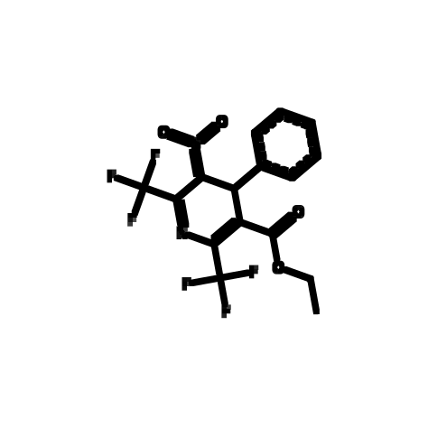 CCOC(=O)C1=C(C(F)(F)F)N=C(C(F)(F)F)C(=S(=O)=O)C1c1ccccc1